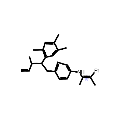 C=CC(C)C(Cc1ccc(N/C(C)=C(/C)CC)cc1)c1cc(C)c(C)cc1C